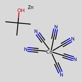 CC(C)(C)O.N#[C][Co]([C]#N)([C]#N)([C]#N)([C]#N)[C]#N.[Zn]